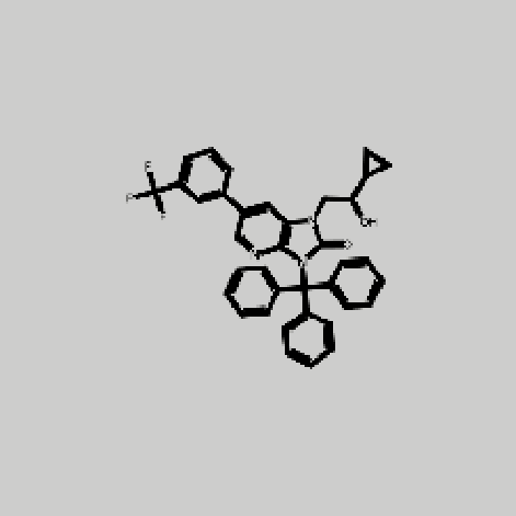 O=c1n(CC(O)C2CC2)c2cc(-c3cccc(C(F)(F)F)c3)cnc2n1C(c1ccccc1)(c1ccccc1)c1ccccc1